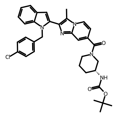 Cc1c(-c2cc3ccccc3n2Cc2ccc(Cl)cc2)nc2cc(C(=O)N3CCC[C@@H](NC(=O)OC(C)(C)C)C3)ccn12